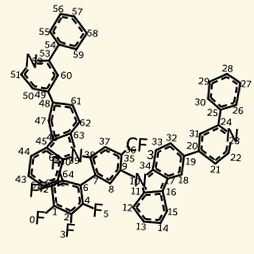 Fc1c(F)c(F)c(-c2cc(-n3c4ccccc4c4cc(-c5ccnc(-c6ccccc6)c5)ccc43)c(C(F)(F)F)cc2-n2c3ccccc3c3cc(-c4ccnc(-c5ccccc5)c4)ccc32)c(F)c1F